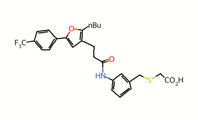 CCCCc1oc(-c2ccc(C(F)(F)F)cc2)cc1CCC(=O)Nc1cccc(CSCC(=O)O)c1